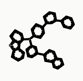 c1ccc(-c2cccc(-c3ccc(N(c4cccc(-c5ccc6ccccc6c5)c4)c4cccc5oc6ccccc6c45)cc3)c2)cc1